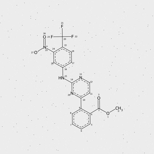 COC(=O)c1ccccc1-c1ccnc(Nc2ccc(C(F)(F)F)c([N+](=O)[O-])c2)n1